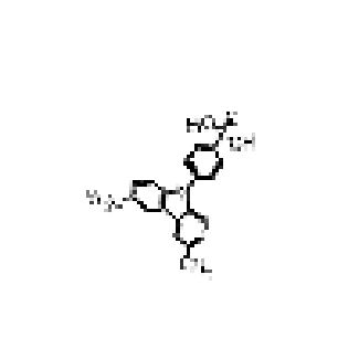 Cc1ccc2c(c1)c1cc(C)ccc1n2-c1ccc(P(=O)(O)O)cc1